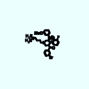 COc1cccc(C(=O)C2CN(CCCCN(C)C)CC(C(=O)c3cccc(Br)c3)C2c2cccc(F)c2C)c1